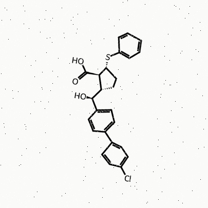 O=C(O)[C@@H]1[C@@H]([C@H](O)c2ccc(-c3ccc(Cl)cc3)cc2)CC[C@H]1Sc1ccccc1